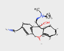 CN(C)CC1(O)c2ccc(C#N)cc2COc2ccccc21